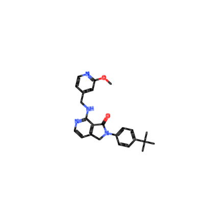 COc1cc(CNc2nccc3c2C(=O)N(c2ccc(C(C)(C)C)cc2)C3)ccn1